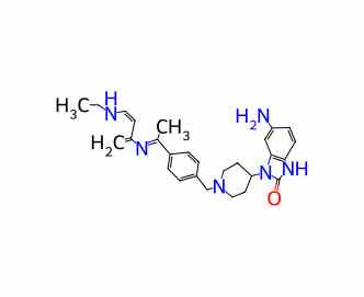 C=C(/C=C\NCC)/N=C(\C)c1ccc(CN2CCC(n3c(=O)[nH]c4ccc(N)cc43)CC2)cc1